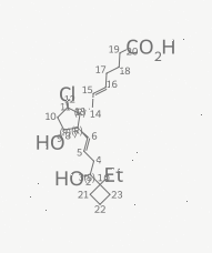 CCC1([C@@H](O)CC=C[C@H]2[C@H](O)CC(Cl)[C@@H]2CC=CCCCC(=O)O)CCC1